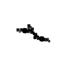 Cc1ccc(OCC(=O)OCCOC(=O)C(C)Oc2ccc(C)cc2)cc1